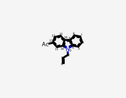 C=CCn1c2ccccc2c2ccc(C(C)=O)cc21